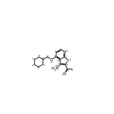 CC(=O)c1sc2nccc(OCC3CCCCC3)c2c1N